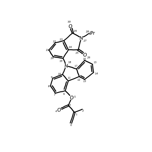 C=C(C)C(=O)Oc1cccc2c1c1ccccc1n2-c1cccc2c1C(=O)N(C(C)C)C2=O